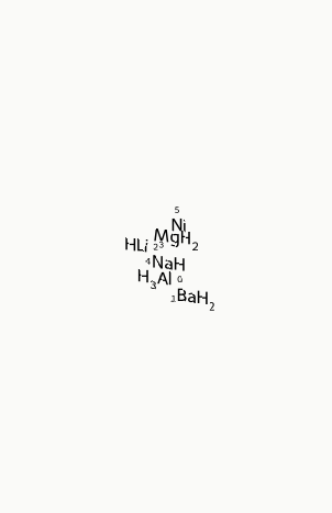 [AlH3].[BaH2].[LiH].[MgH2].[NaH].[Ni]